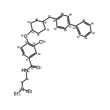 CCN(CC)CCNC(=O)c1ccc(OC2CCC(Cc3ccc(-c4ccccc4)cc3)CC2)c(Cl)c1